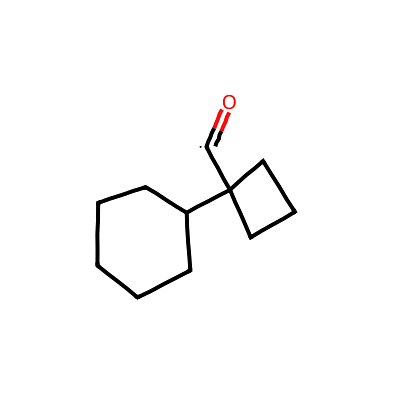 O=[C]C1(C2CCCCC2)CCC1